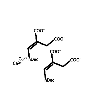 CCCCCCCCCCC=C(CC(=O)[O-])C(=O)[O-].CCCCCCCCCCC=C(CC(=O)[O-])C(=O)[O-].[Ca+2].[Ca+2]